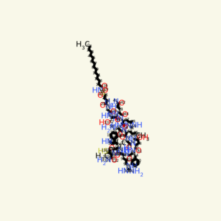 CCCCCCCCCCCCCCCC(=O)NS(=O)(=O)CCCC(=O)NCC(=O)N[C@@H](CO)C(=O)N[C@H](CCC(N)=O)C(=O)N[C@@H](Cc1c[nH]cn1)C(=O)N[C@@H](CN)C(=O)N[C@@H](CCCC)C(=O)N[C@@H](C)C(=O)N1C[C@H](O)C[C@H]1C(=O)N[C@H](Cc1ccccc1)C(=O)N[C@@H](CCCNC(=N)N)C(=O)N[C@@H](Cc1c[nH]c2ccccc12)C(=O)N[C@H](C(N)=O)C(C)(C)S